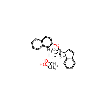 CO.CO.[CH3][Ti]([CH3])(=[SiH2])([O]c1ccc2ccccc2c1)[CH]1C=Cc2ccccc21